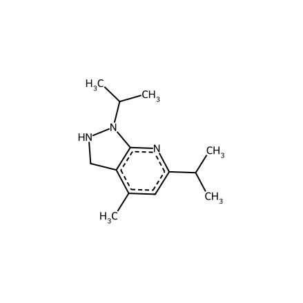 Cc1cc(C(C)C)nc2c1CNN2C(C)C